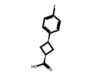 O=C(O)[C@H]1C[C@@H](c2ccc(F)cc2)C1